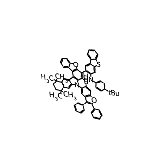 CC(C)(C)c1ccc(Nc2cc3sc4ccccc4c3cc2-c2c3c4c(c5cc6c(cc5n4-c4cc5c(-c7ccccc7)c(-c7ccccc7)oc5cc4B3)C(C)(C)CCC6(C)C)c3c2oc2ccccc23)cc1